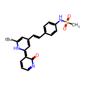 CC(C)(C)C1=CC(C=Cc2ccc(NS(C)(=O)=O)cc2)=CC(=C2C=CC=NC2=O)N1